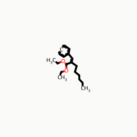 CCCCCCC(=Cc1ccccc1)C(OCC)OCC